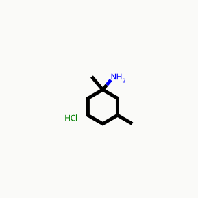 CC1CCCC(C)(N)C1.Cl